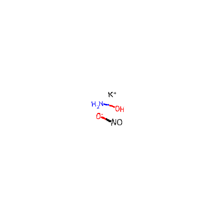 NO.O=N[O-].[K+]